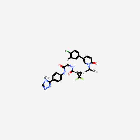 CC(C)n1cc(-c2ccc(Cl)c(C[C@H](NC(=O)[C@H]3CC3(F)F)C(=O)Nc3ccc(-c4nncn4C)cc3)c2)ccc1=O